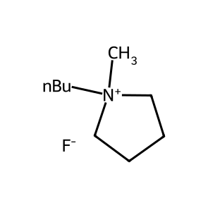 CCCC[N+]1(C)CCCC1.[F-]